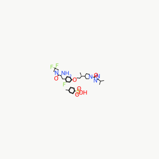 CC(C)c1noc(N2CCC([C@H](C)CCOc3ccc(C[C@H](N)C(=O)N4CC(F)(F)C4)c(F)c3)CC2)n1.Cc1ccc(S(=O)(=O)O)cc1